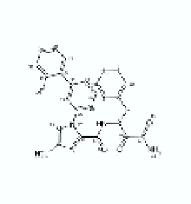 Cc1cc(C(=O)NC(Cc2ccccc2)C(=O)C(N)=O)n(-c2cccc(-c3ccccc3F)c2)n1